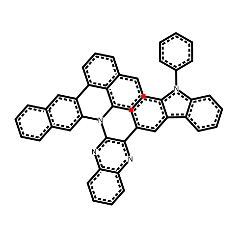 c1ccc(-n2c3ccccc3c3cc(-c4nc5ccccc5nc4N4c5cc6ccccc6cc5-c5cccc6cccc4c56)ccc32)cc1